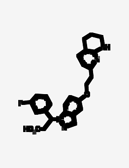 O=C(O)CC(c1cccc(F)c1)n1ncc2cc(OCCc3ccc4c(n3)NCCC4)ccc21